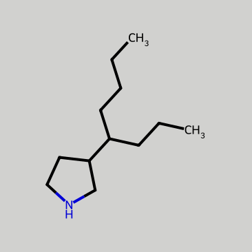 CCCCC(CCC)C1CCNC1